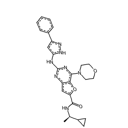 C[C@@H](NC(=O)c1cc2nc(Nc3cc(-c4ccccc4)n[nH]3)nc(N3CCOCC3)c2o1)C1CC1